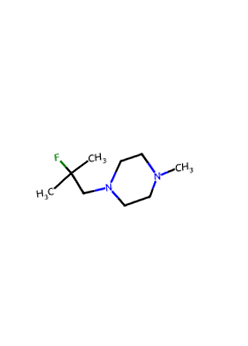 CN1CCN(CC(C)(C)F)CC1